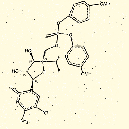 COc1ccc(OP(=S)(OC[C@@]2(C(F)F)O[C@@H](n3cc(Cl)c(N)nc3=O)[C@H](O)[C@H]2O)Oc2ccc(OC)cc2)cc1